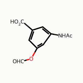 CC(=O)Nc1cc(OC=O)cc(C(=O)O)c1